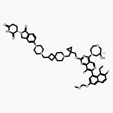 CCc1c(F)ccc2cc(OCOC)cc(-c3ncc4c(N5CCOC[C@@](C)(O)C5)nc(OCC5(CN6CCC7(CC6)CC(CN6CCN(c8ccc9c(c8)CN([C@H]8CCC(=O)NC8=O)C9=O)CC6)C7)CC5)nc4c3F)c12